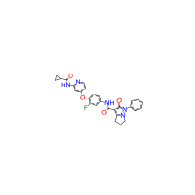 O=C(Nc1ccc(Oc2ccnc(NC(=O)C3CC3)c2)c(F)c1)c1c2n(n(-c3ccccc3)c1=O)CCC2